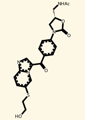 CC(=O)NC[C@H]1CN(c2ccc(C(=O)c3cnc4ccc(SCCO)cn34)cc2)C(=O)O1